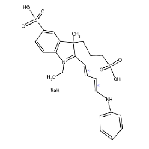 CC[N+]1=C(/C=C/C=C/Nc2ccccc2)C(C)(CCCS(=O)(=O)O)c2cc(S(=O)(=O)O)ccc21.[NaH]